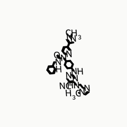 Cn1cc(-c2ccc(N(C(=O)NCc3ccccc3)C3CCC(Nc4ncc(C#N)c(NCc5nccn5C)n4)CC3)nc2)cn1